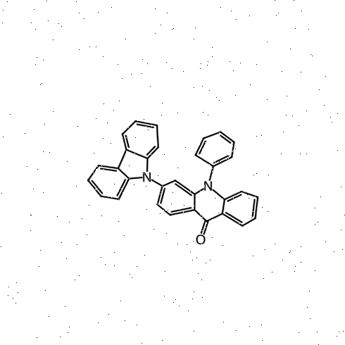 O=c1c2ccccc2n(-c2ccccc2)c2cc(-n3c4ccccc4c4ccccc43)ccc12